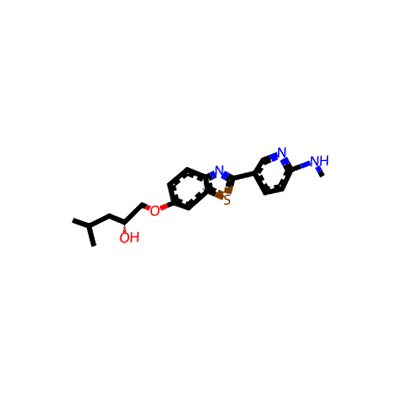 CNc1ccc(-c2nc3ccc(OC[C@H](O)CC(C)C)cc3s2)cn1